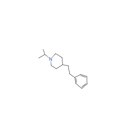 CC(C)N1CCC(CCc2ccccc2)CC1